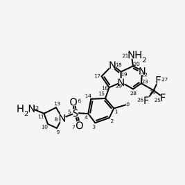 Cc1ccc(S(=O)(=O)N2CCC(N)C2)cc1-c1cnc2c(N)nc(C(F)(F)F)cn12